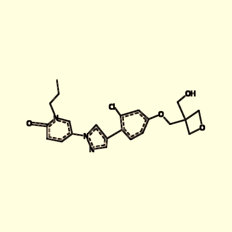 CCCn1cc(-n2cc(-c3ccc(OCC4(CO)COC4)cc3Cl)cn2)ccc1=O